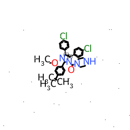 CCOc1cc(C(C)(C)C)ccc1C1=N[C@@H](c2ccc(Cl)cc2)[C@@H](c2ccc(Cl)cc2)N1C(=O)N1CCNCC1